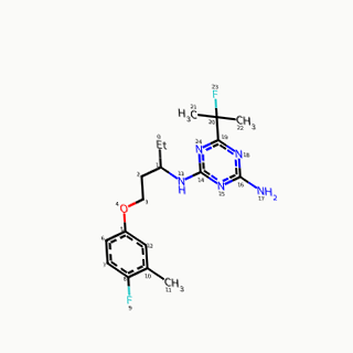 CCC(CCOc1ccc(F)c(C)c1)Nc1nc(N)nc(C(C)(C)F)n1